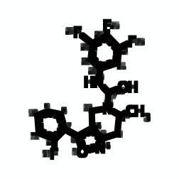 C[C@H]1Cc2noc(-c3ccccc3F)c2CN1C(O)Nc1cc(F)c(F)c(F)c1